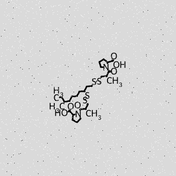 CCC(C)CCCCC(CCSSCC(C)C(=O)N1CCCC1C(=O)O)SSCC(C)C(=O)N1CCCC1C(=O)O